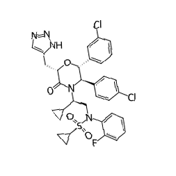 O=C1[C@H](Cc2cnn[nH]2)O[C@H](c2cccc(Cl)c2)[C@@H](c2ccc(Cl)cc2)N1[C@@H](CN(c1ccccc1F)S(=O)(=O)C1CC1)C1CC1